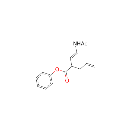 C=CCC(C=CNC(C)=O)C(=O)Oc1ccccc1